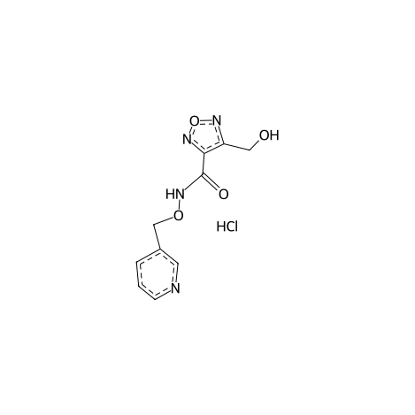 Cl.O=C(NOCc1cccnc1)c1nonc1CO